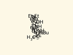 CCN(CC)S(=O)(=O)c1scc(Nc2c(N[C@@H](c3ccc(C)s3)C(C)(C)C)no[n+]2[O-])c1O